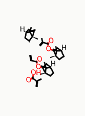 C=C(C)C(=O)O.C=C(C)C(=O)OC1C[C@H]2CC[C@@]1(C)C2(C)C.C=CC(=O)OC1C[C@H]2CC[C@@]1(C)C2(C)C.CC1(C)[C@H]2C[CH][C@@]1(C)CC2